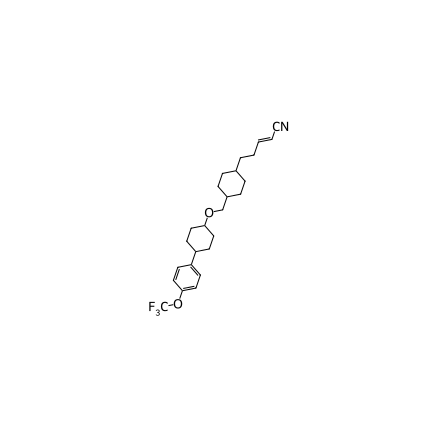 N#CC=CCCC1CCC(COC2CCC(c3ccc(OC(F)(F)F)cc3)CC2)CC1